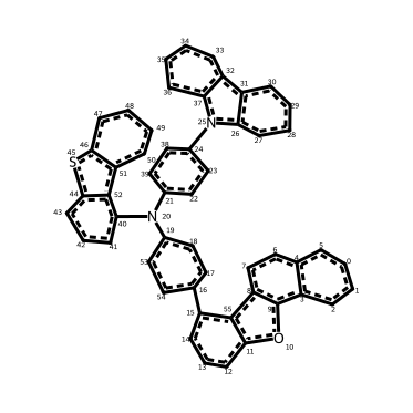 c1ccc2c(c1)ccc1c2oc2cccc(-c3ccc(N(c4ccc(-n5c6ccccc6c6ccccc65)cc4)c4cccc5sc6ccccc6c45)cc3)c21